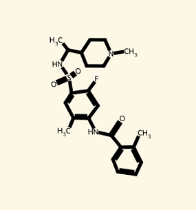 Cc1cc(S(=O)(=O)NC(C)C2CCN(C)CC2)c(F)cc1NC(=O)c1ccccc1C